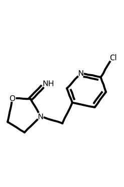 N=C1OCCN1Cc1ccc(Cl)nc1